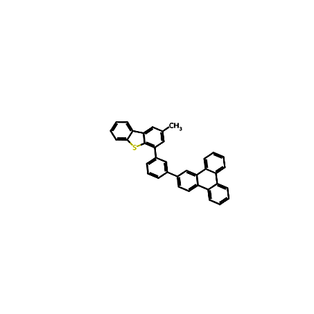 Cc1cc(-c2cccc(-c3ccc4c5ccccc5c5ccccc5c4c3)c2)c2sc3ccccc3c2c1